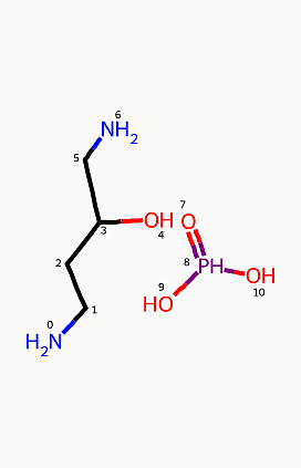 NCCC(O)CN.O=[PH](O)O